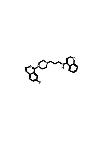 Fc1ccc2ccnc(N3CCN(CCCNC4=CCOc5ccccc54)CC3)c2c1